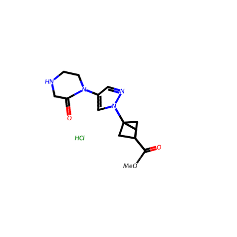 COC(=O)C12CC(n3cc(N4CCNCC4=O)cn3)(C1)C2.Cl